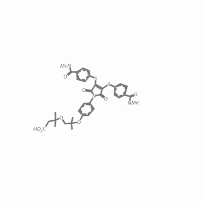 CNC(=O)c1ccc(SC2=C(Sc3ccc(C(=O)NC)cc3)C(=O)N(c3ccc(OC(C)(C)COC(C)(C)CC(=O)O)cc3)C2=O)cc1